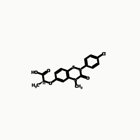 C[C@@H](Oc1ccc2c(c1)N(C)C(=O)N(c1ccc(Cl)cc1)S2)C(=O)O